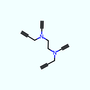 C#CCN(C#C)CCN(C#C)CC#C